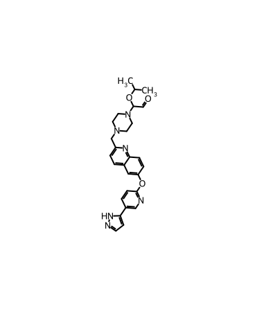 CC(C)OC(C=O)N1CCN(Cc2ccc3cc(Oc4ccc(-c5ccn[nH]5)cn4)ccc3n2)CC1